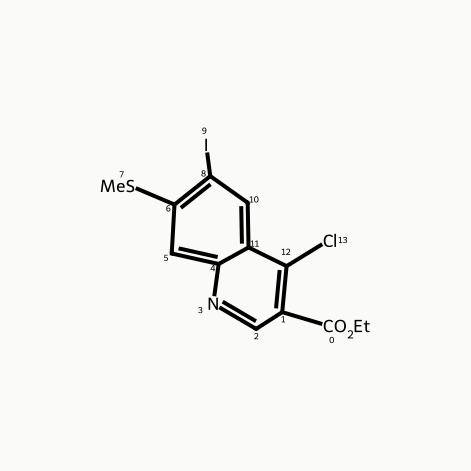 CCOC(=O)c1cnc2cc(SC)c(I)cc2c1Cl